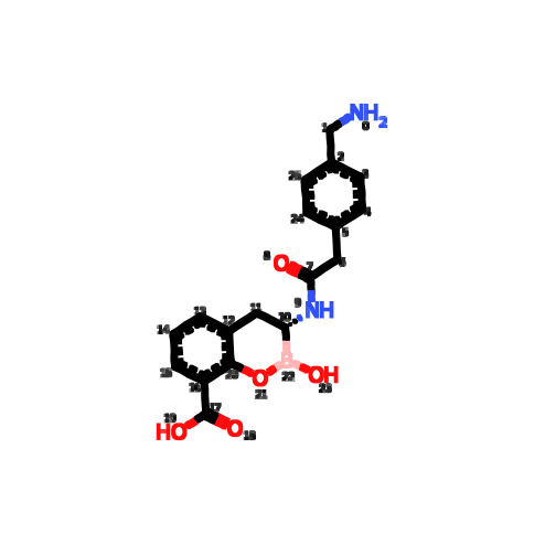 NCc1ccc(CC(=O)N[C@H]2Cc3cccc(C(=O)O)c3OB2O)cc1